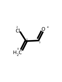 C=C(Cl)C=O